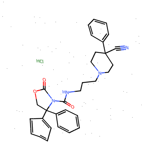 Cl.N#CC1(c2ccccc2)CCN(CCCNC(=O)N2C(=O)OCC2(c2ccccc2)c2ccccc2)CC1